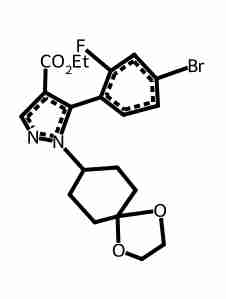 CCOC(=O)c1cnn(C2CCC3(CC2)OCCO3)c1-c1ccc(Br)cc1F